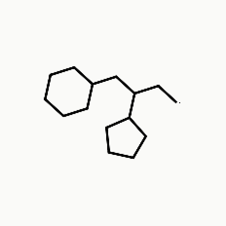 [CH2]CC(CC1CCCCC1)C1CCCC1